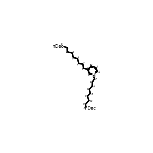 CCCCCCCCCCCCCCCCCCc1ccc[n+](CCCCCCCCCCCCCCCCCC)c1